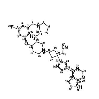 C[C@H]1CCCN1Cc1cc(F)cc(OC2CCN(C3CC(CC#N)(n4cc(-c5ncnc6[nH]ccc56)cn4)C3)CC2)c1